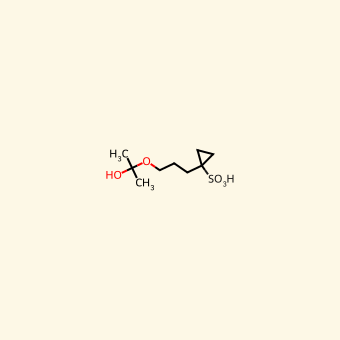 CC(C)(O)OCCCC1(S(=O)(=O)O)CC1